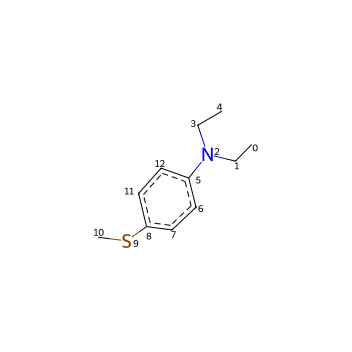 CCN(CC)c1ccc(SC)cc1